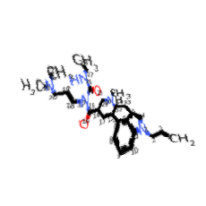 C=CCn1cc2c3c(cccc31)C1=CC(C(=O)N(CCCN(C)C)C(=O)NCC)CN(C)[C@@H]1C2